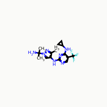 Cc1nn(C(C)(C)N)cc1Nc1ncc(C(F)(F)F)c(NC2CC2)n1